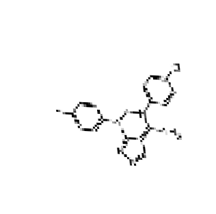 Cc1ccc(N2CN(c3ccc(Cl)cc3)C(N)=C3C=NN=C32)cc1